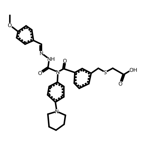 COc1ccc(C=NNC(=O)N(C(=O)c2cccc(CSCC(=O)O)c2)c2ccc(N3CCCCC3)cc2)cc1